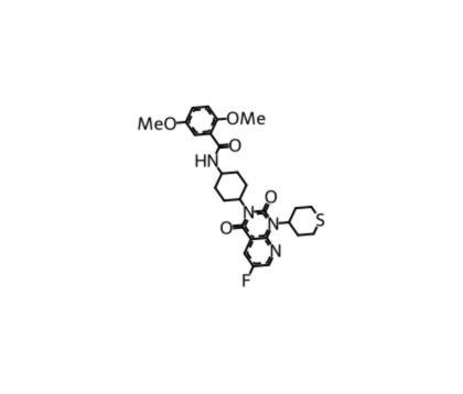 COc1ccc(OC)c(C(=O)NC2CCC(n3c(=O)c4cc(F)cnc4n(C4CCSCC4)c3=O)CC2)c1